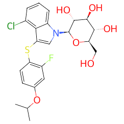 CC(C)Oc1ccc(Sc2cn([C@@H]3O[C@H](CO)[C@@H](O)[C@H](O)[C@H]3O)c3cccc(Cl)c23)c(F)c1